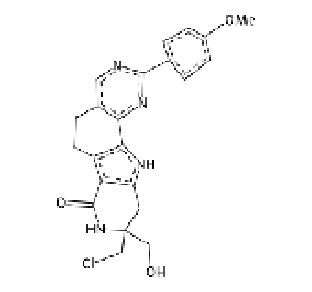 COc1ccc(-c2ncc3c(n2)-c2[nH]c4c(c2CC3)C(=O)NC(CO)(CCl)C4)cc1